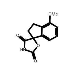 COc1cccc2c1CCC21OC(=O)NC1=O